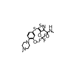 CNC(=O)c1nsc(Sc2ccc(N3CCN(C)CC3)c(OC)c2)c1OC(F)(F)F